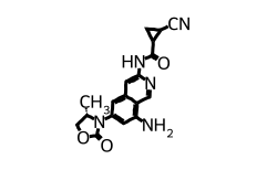 C[C@H]1COC(=O)N1c1cc(N)c2cnc(NC(=O)C3CC3C#N)cc2c1